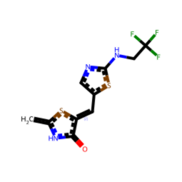 C=c1[nH]c(=O)/c(=C/c2cnc(NCC(F)(F)F)s2)s1